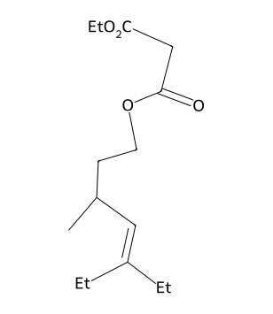 CCOC(=O)CC(=O)OCCC(C)C=C(CC)CC